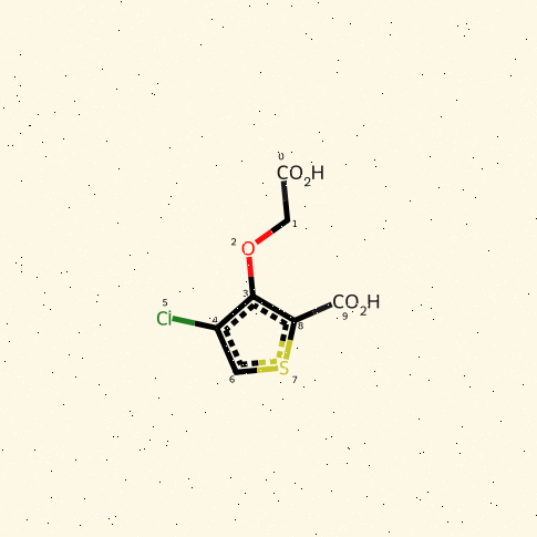 O=C(O)COc1c(Cl)csc1C(=O)O